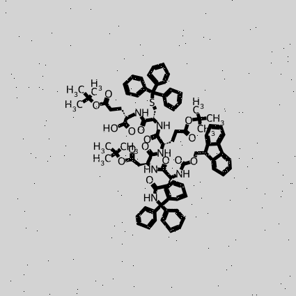 CC(C)(C)OC(=O)CC[C@H](NC(=O)[C@H](CSC(c1ccccc1)(c1ccccc1)c1ccccc1)NC(=O)[C@H](CCC(=O)OC(C)(C)C)NC(=O)[C@H](CC(=O)OC(C)(C)C)NC(=O)[C@H](CC(=O)NC(c1ccccc1)(c1ccccc1)c1ccccc1)NC(=O)OCC1c2ccccc2-c2ccccc21)C(=O)O